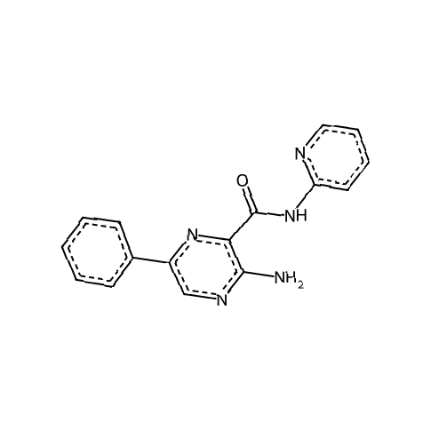 Nc1ncc(-c2ccccc2)nc1C(=O)Nc1ccccn1